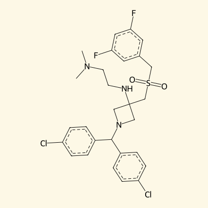 CN(C)CCNC1(CS(=O)(=O)Cc2cc(F)cc(F)c2)CN(C(c2ccc(Cl)cc2)c2ccc(Cl)cc2)C1